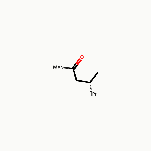 CNC(=O)C[C@H](C)C(C)C